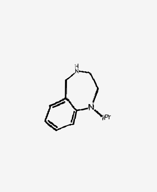 CC(C)N1CCNCc2ccccc21